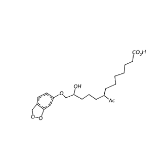 CC(=O)C(CCCCCCC(=O)O)CCCC(O)COc1ccc2c(c1)OOC2